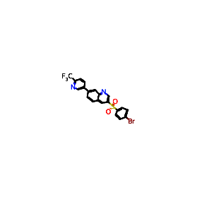 O=S(=O)(c1ccc(Br)cc1)c1cnc2cc(-c3ccc(C(F)(F)F)nc3)ccc2c1